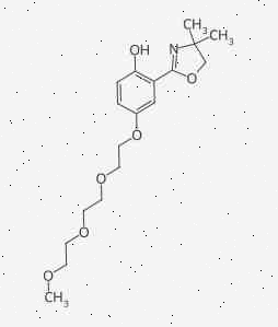 COCCOCCOCCOc1ccc(O)c(C2=NC(C)(C)CO2)c1